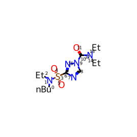 CCCCN(CC)S(=O)(=O)c1ncn(C(=O)N(CC)CC)n1